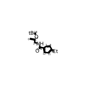 C=C(CNC(=O)c1ccc(CC)cc1)OC(C)(C)C